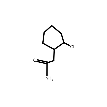 NC(=O)CC1CCCCC1Cl